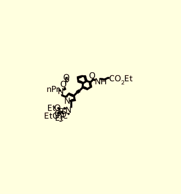 CCCN(COP=O)Cc1cc(C#Cc2ccc(C(=O)NCCCC(=O)OCC)c3ccccc23)cc(CN(CC(=O)OCC)CP(=O)(OCC)OCC)n1